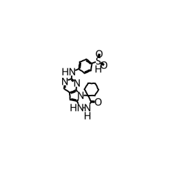 O=C1NNc2cc3cnc(Nc4ccc([SH](=O)=O)cc4)nc3n2C12CCCCC2